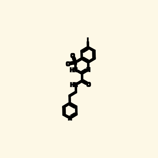 O=C(NCCc1ccncc1)C1=Nc2ccc(I)cc2S(=O)(=O)N1